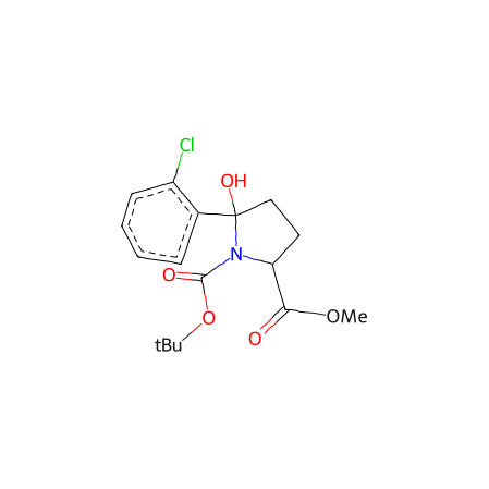 COC(=O)C1CCC(O)(c2ccccc2Cl)N1C(=O)OC(C)(C)C